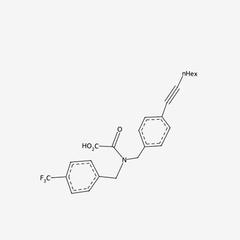 CCCCCCC#Cc1ccc(CN(Cc2ccc(C(F)(F)F)cc2)C(=O)C(=O)O)cc1